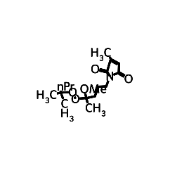 CCCC(C)(C)OOC(C)(CCCN1C(=O)C=C(C)C1=O)OC